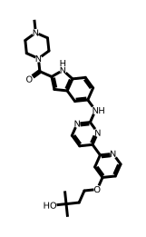 CN1CCN(C(=O)c2cc3cc(Nc4nccc(-c5cc(OCCC(C)(C)O)ccn5)n4)ccc3[nH]2)CC1